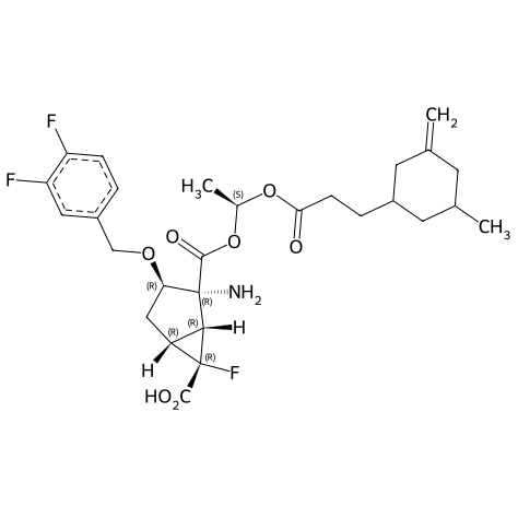 C=C1CC(C)CC(CCC(=O)O[C@H](C)OC(=O)[C@@]2(N)[C@H]3[C@@H](C[C@H]2OCc2ccc(F)c(F)c2)[C@]3(F)C(=O)O)C1